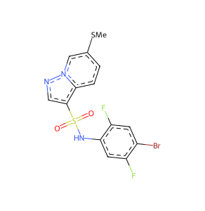 CSc1ccc2c(S(=O)(=O)Nc3cc(F)c(Br)cc3F)cnn2c1